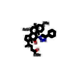 COC(=O)CC[C@@H](C)C1CCC2C3C([C@H](n4cc(-c5ccccc5)nn4)C(=O)[C@@]21C)[C@@]1(C)CC[C@@H](OC(C)=O)C[C@H]1C[C@H]3OC(C)=O